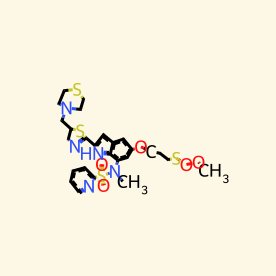 COOSCCCOc1cc(N(C)S(=O)(=O)c2ccccn2)c2[nH]c(C3=NCC(CN4CCSCC4)S3)cc2c1